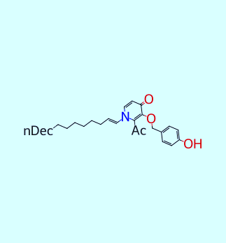 CCCCCCCCCCCCCCCCC=Cn1ccc(=O)c(OCc2ccc(O)cc2)c1C(C)=O